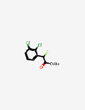 COC(=O)C(F)c1cccc(Cl)c1Cl